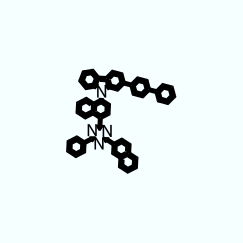 c1ccc(-c2ccc(-c3ccc4c5ccccc5n(-c5ccc(-c6nc(-c7ccccc7)nc(-c7ccc8ccccc8c7)n6)c6ccccc56)c4c3)cc2)cc1